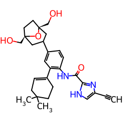 C#Cc1c[nH]c(C(=O)Nc2ccc(C3C[C@]4(CO)CC[C@](CO)(C3)O4)cc2C2=CCC(C)(C)CC2)n1